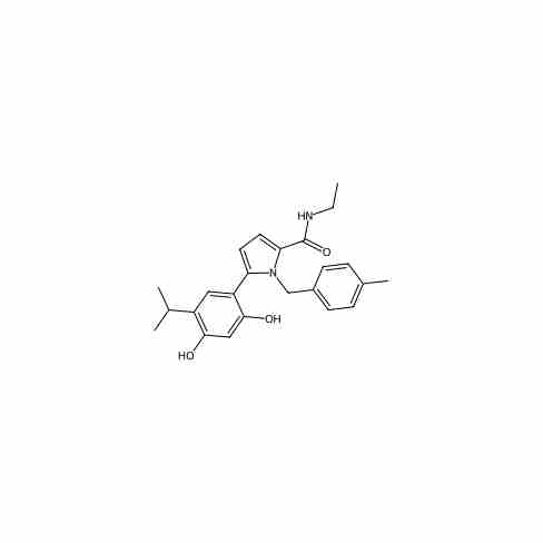 CCNC(=O)c1ccc(-c2cc(C(C)C)c(O)cc2O)n1Cc1ccc(C)cc1